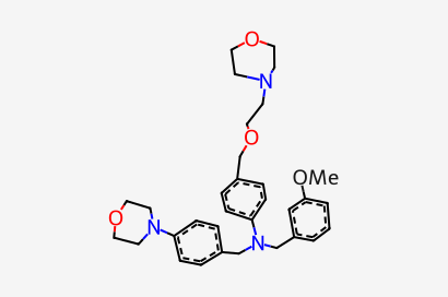 COc1cccc(CN(Cc2ccc(N3CCOCC3)cc2)c2ccc(COCCN3CCOCC3)cc2)c1